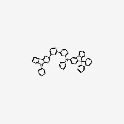 c1ccc(N(c2cccc(-c3cccc(-c4ccc5c(c4)c4ccccc4n5-c4ccccc4)c3)c2)c2ccc3c(c2)-c2ccccc2C3(c2ccccc2)c2ccccc2)cc1